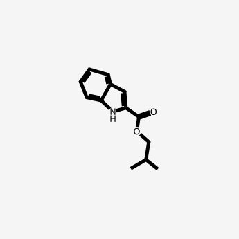 CC(C)COC(=O)c1cc2ccccc2[nH]1